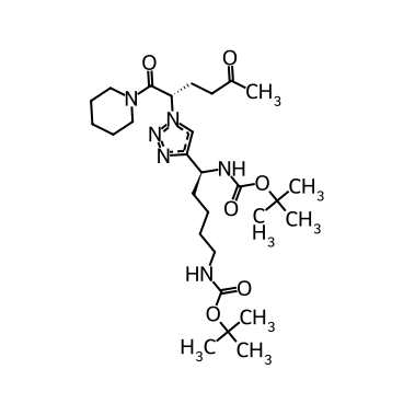 CC(=O)CC[C@@H](C(=O)N1CCCCC1)n1cc([C@H](CCCCNC(=O)OC(C)(C)C)NC(=O)OC(C)(C)C)nn1